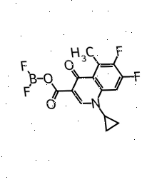 Cc1c(F)c(F)cc2c1c(=O)c(C(=O)OB(F)F)cn2C1CC1